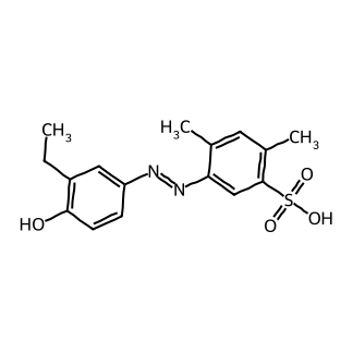 CCc1cc(/N=N/c2cc(S(=O)(=O)O)c(C)cc2C)ccc1O